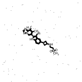 Cc1c(-c2[nH]c3ccc(C4CC(NCCS(C)(=O)=O)C4)cc3c2C(C)C)cn2ncnc2c1C